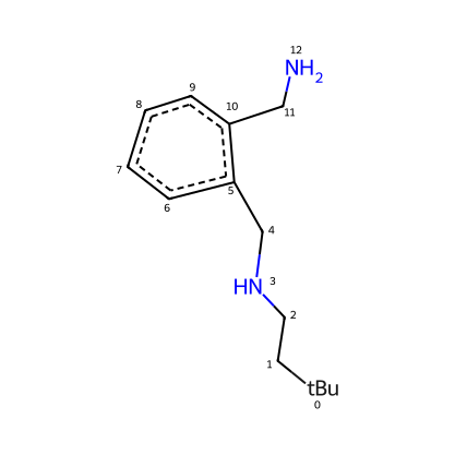 CC(C)(C)CCNCc1ccccc1CN